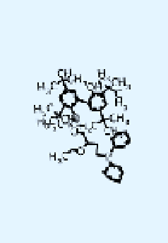 CCOC(CCP(c1ccccc1)c1ccccc1)COP(C)Oc1c(-c2cc(C(C)(C)C)cc(C(C)(C)C)c2O)cc(C(C)(C)C)cc1C(C)(C)C